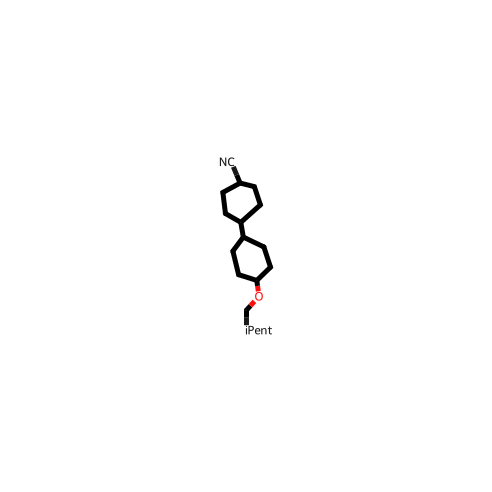 CCCC(C)COC1CCC(C2CCC(C#N)CC2)CC1